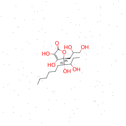 CCCCCC[C@](O)(C(O)CC)[C@@]1(CC(O)CO)OC(=O)C(O)=C1O